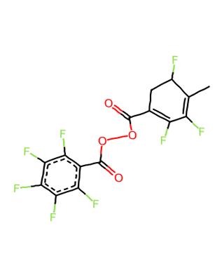 CC1=C(F)C(F)=C(C(=O)OOC(=O)c2c(F)c(F)c(F)c(F)c2F)CC1F